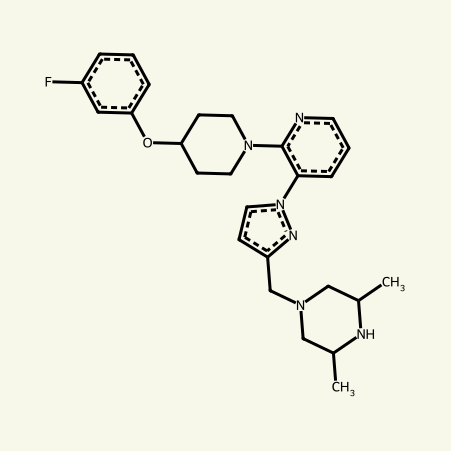 CC1CN(Cc2ccn(-c3cccnc3N3CCC(Oc4cccc(F)c4)CC3)n2)CC(C)N1